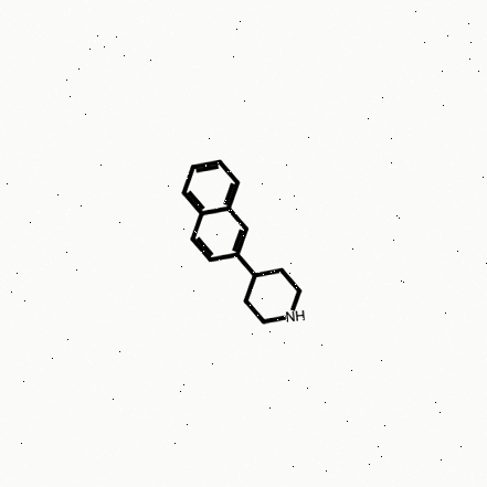 c1ccc2cc(C3CCNCC3)ccc2c1